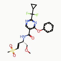 COC[C@H](/C=C/S(C)(=O)=O)NC(=O)c1cnc(C(F)(F)C2CC2)nc1Oc1ccccc1